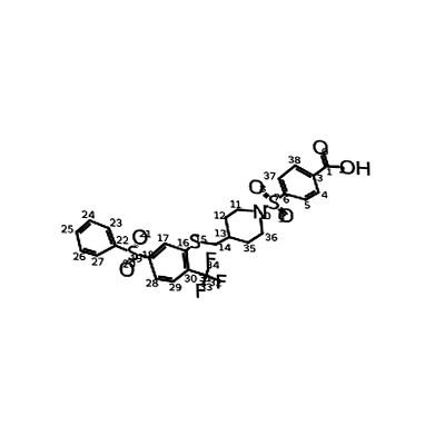 O=C(O)c1ccc(S(=O)(=O)N2CCC(CSc3cc(S(=O)(=O)c4ccccc4)ccc3C(F)(F)F)CC2)cc1